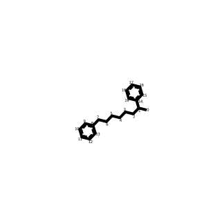 CC(C[CH]CCCCc1ccccc1)c1ccccc1